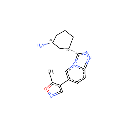 Cc1oncc1-c1ccc2nnc([C@H]3CCC[C@@H](N)C3)n2c1